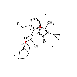 Cc1nn(CC(O)CN2C3CCC2CC(OCc2ccccc2C(F)F)C3)c(=O)n1C1CC1